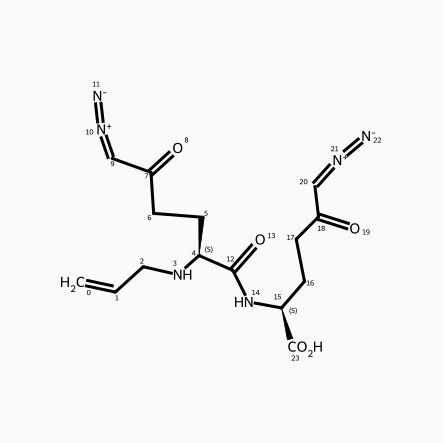 C=CCN[C@@H](CCC(=O)C=[N+]=[N-])C(=O)N[C@@H](CCC(=O)C=[N+]=[N-])C(=O)O